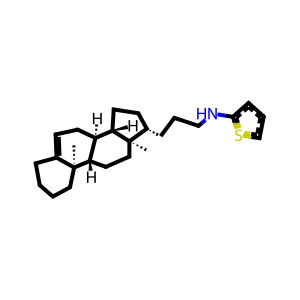 C[C@]12CC[C@H]3[C@@H](CC=C4CCCC[C@@]43C)[C@@H]1CC[C@@H]2CCCNc1cccs1